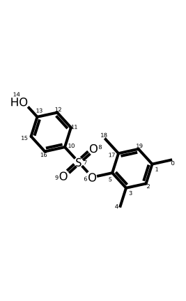 Cc1cc(C)c(OS(=O)(=O)c2ccc(O)cc2)c(C)c1